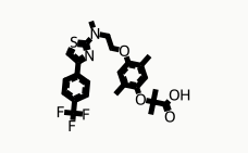 Cc1cc(OC(C)(C)C(=O)O)c(C)cc1OCCN(C)c1nc(-c2ccc(C(F)(F)F)cc2)cs1